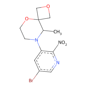 CC1N(c2cc(Br)cnc2[N+](=O)[O-])CCOC12COC2